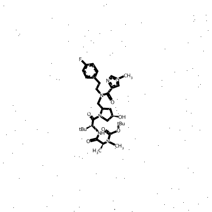 C[C@@H](C(=O)N[C@H](C(=O)N1C[C@H](O)CC1CN(CCc1ccc(F)cc1)C(=O)c1cn(C)cn1)C(C)(C)C)N(C)C(=O)OC(C)(C)C